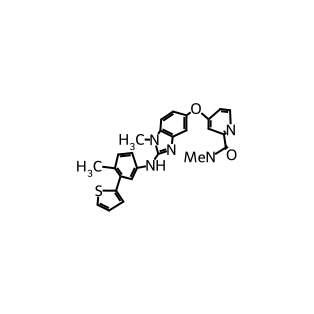 CNC(=O)c1cc(Oc2ccc3c(c2)nc(Nc2ccc(C)c(-c4cccs4)c2)n3C)ccn1